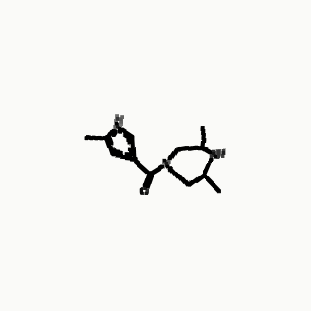 Cc1cc(C(=O)N2CC(C)NC(C)C2)c[nH]1